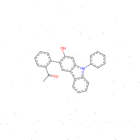 CC(=O)c1ccccc1-c1cc2c3ccccc3n(-c3ccccc3)c2cc1O